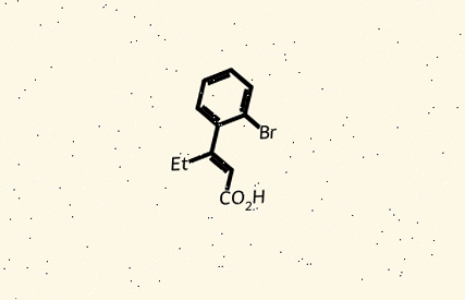 CCC(=CC(=O)O)c1ccccc1Br